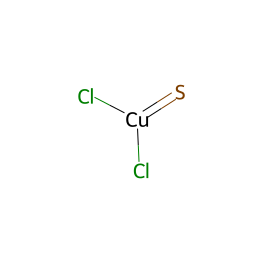 [S]=[Cu]([Cl])[Cl]